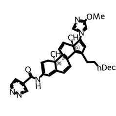 CCCCCCCCCCCCC1=C2C3=C(C=C[C@]2(C)C(n2cnc(OC)c2)=C1)[C@]1(C)CC=C(NC(=O)c2ccnnc2)C=C1C=C3